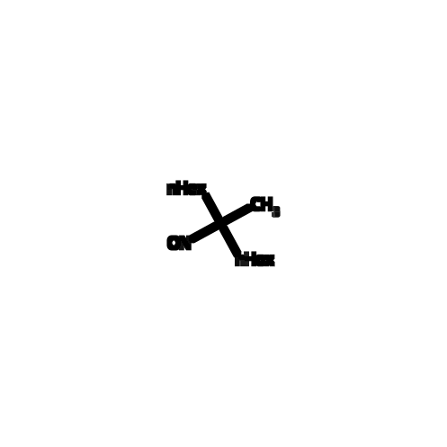 CCCCCCC(C)(CCCCCC)N=O